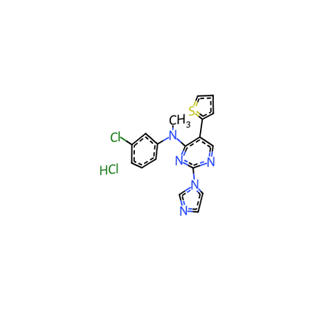 CN(c1cccc(Cl)c1)c1nc(-n2ccnc2)ncc1-c1cccs1.Cl